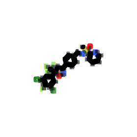 CS(=O)(=NCc1ccc(C2=NOC(c3cc(Cl)c(F)c(Cl)c3)(C(F)(F)F)C2)cc1)c1ccccn1